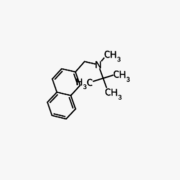 CN(Cc1ccc2ccccc2c1)C(C)(C)C